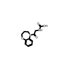 O=C(O)NCC(=O)N1CCCOc2ccccc21